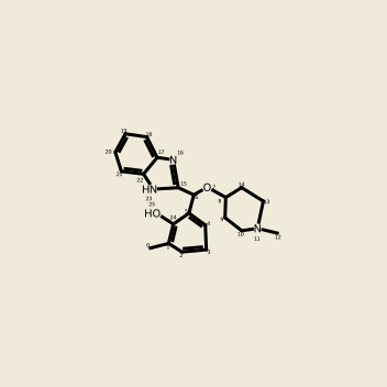 Cc1cccc(C(OC2CCN(C)CC2)c2nc3ccccc3[nH]2)c1O